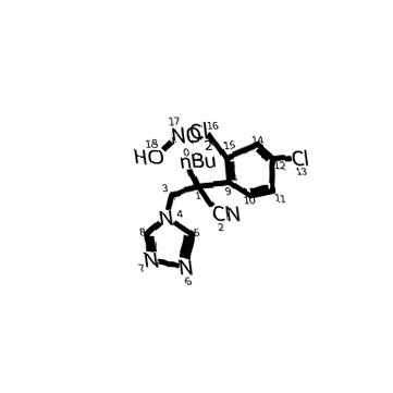 CCCCC(C#N)(Cn1cnnc1)c1ccc(Cl)cc1Cl.O=[N+]([O-])O